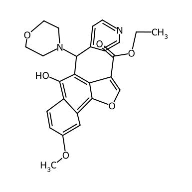 CCOC(=O)c1coc2c1c(C(c1ccncc1)N1CCOCC1)c(O)c1ccc(OC)cc12